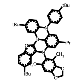 Cc1cc2c(c(C)c1N1c3cc(C(C)C)cc4c3B(c3cc(C(C)(C)C)ccc3N4c3ccc(C(C)(C)C)cc3)c3oc4ccc(C(C)(C)C)cc4c31)OCO2